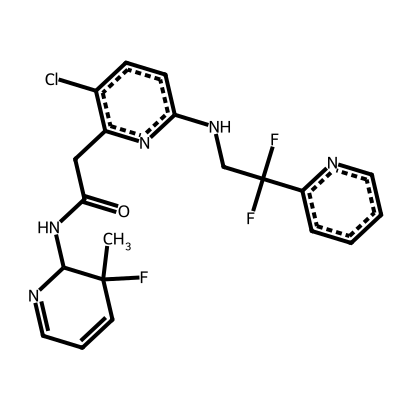 CC1(F)C=CC=NC1NC(=O)Cc1nc(NCC(F)(F)c2ccccn2)ccc1Cl